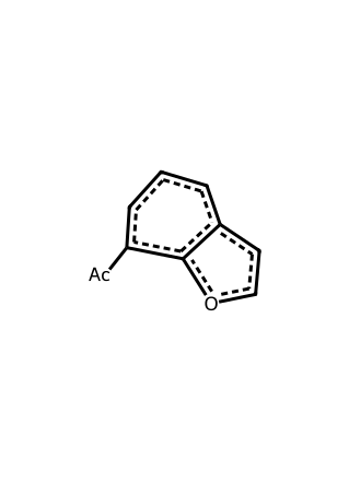 CC(=O)c1cccc2ccoc12